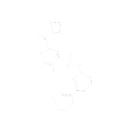 O=C(c1cc(Cl)c(O)c(S(=O)(=O)Nc2cc(-c3ccccc3)ccc2F)c1)N1CCC1